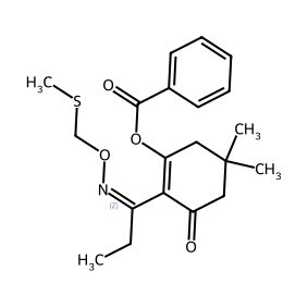 CC/C(=N/OCSC)C1=C(OC(=O)c2ccccc2)CC(C)(C)CC1=O